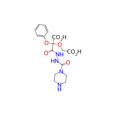 O=C(O)COC(Oc1ccccc1)(C(=O)O)C(=O)NNC(=O)N1CCNCC1